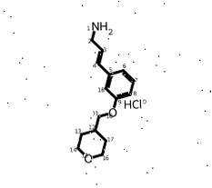 Cl.NCC=Cc1cccc(OCC2CCOCC2)c1